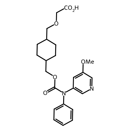 COc1cncc(N(C(=O)OCC2CCC(COCC(=O)O)CC2)c2ccccc2)c1